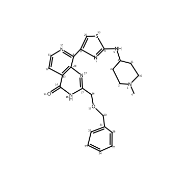 CN1CCC(Nc2nc(-c3nccc4c(=O)[nH]c(COCc5ccccc5)nc34)cs2)CC1